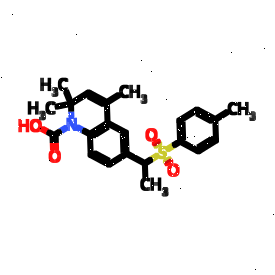 CC1=CC(C)(C)N(C(=O)O)c2ccc(C(C)S(=O)(=O)c3ccc(C)cc3)cc21